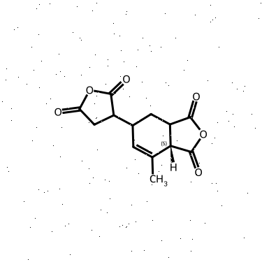 CC1=CC(C2CC(=O)OC2=O)CC2C(=O)OC(=O)[C@H]12